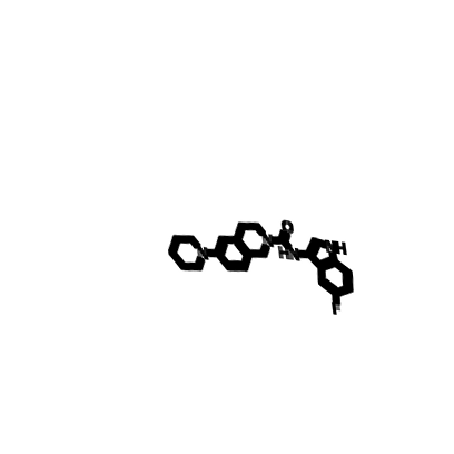 O=C(Nc1c[nH]c2ccc(F)cc12)N1CCc2cc(N3CCCCC3)ccc2C1